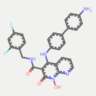 Nc1ccc(-c2ccc(Nc3c(C(=O)NCc4ccc(F)cc4F)c(=O)n(O)c4ncccc34)cc2)cc1